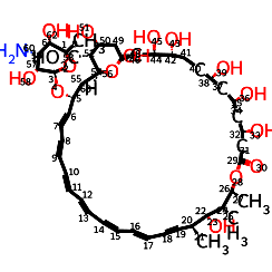 CC1O[C@@H](O[C@H]2/C=C/C=C/C=C/C=C/C=C/C=C/C=C/[C@H](C)[C@@H](O)[C@@H](C)[C@H](C)OC(=O)C[C@H](O)C[C@H](O)C[C@H](O)CC[C@@H](O)[C@H](O)C[C@]3(O)C[C@H](O)[C@@H](C(=O)O)[C@H](C2)O3)C(O)[C@H](N)[C@@H]1O